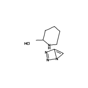 CC1CCCCN1.Cl.c1c2nnn1-2